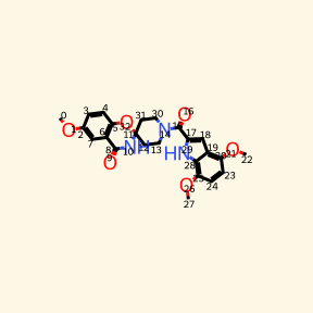 COc1ccc2c(c1)C(=O)NC1(CCN(C(=O)c3cc4c(OC)ccc(OC)c4[nH]3)CC1)O2